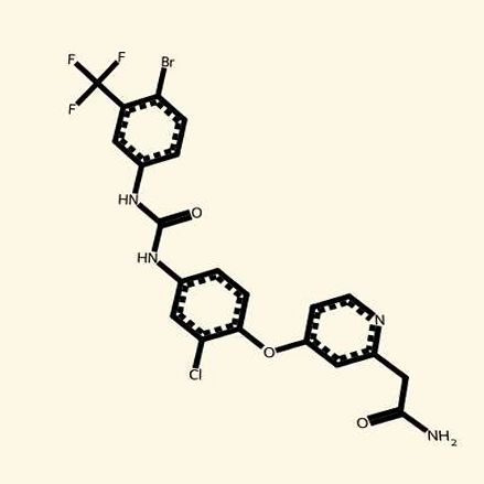 NC(=O)Cc1cc(Oc2ccc(NC(=O)Nc3ccc(Br)c(C(F)(F)F)c3)cc2Cl)ccn1